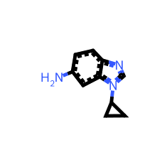 Nc1ccc2ncn(C3CC3)c2c1